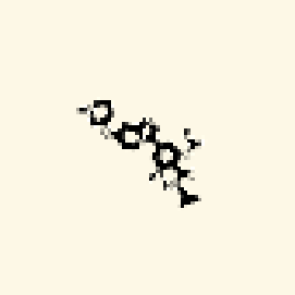 COc1cc(-c2cnc3cc(OC4CCCN(C)C4)ccn23)cc(OC(F)F)c1C(=O)NC1CC1